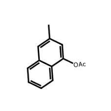 CC(=O)Oc1cc(C)cc2ccccc12